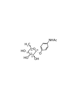 CC(=O)Nc1ccc(O[C@H]2O[C@H](C)[C@@H](O)[C@H](O)[C@@H]2O)cc1